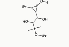 CC(C)OC(C)(C)C(O)C(O)C1B(OI)C1C(C)C